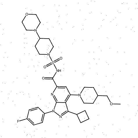 COCC1CCN(c2cc(C(=O)NS(=O)(=O)N3CCC(N4CCOCC4)CC3)nc3c2c(C2CCC2)nn3-c2ccc(F)cc2)CC1